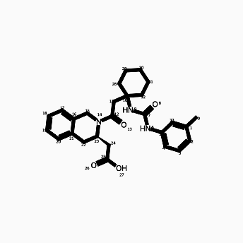 Cc1cccc(NC(=O)NC2(CC(=O)N3Cc4ccccc4C[C@@H]3CC(=O)O)CCCCC2)c1